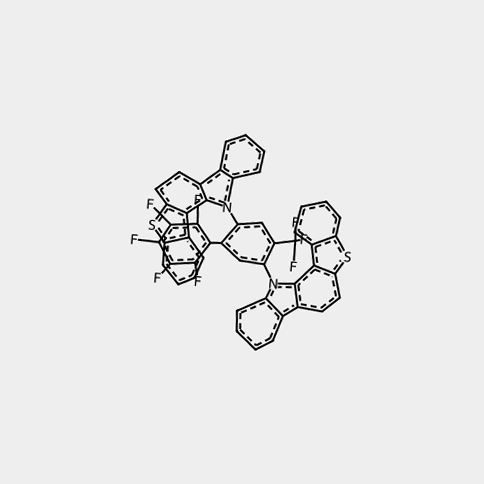 Fc1c(F)c(F)c(-c2cc(-n3c4ccccc4c4ccc5sc6ccccc6c5c43)c(C(F)(F)F)cc2-n2c3ccccc3c3ccc4sc5ccccc5c4c32)c(F)c1F